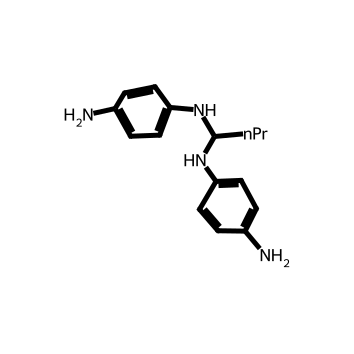 CCCC(Nc1ccc(N)cc1)Nc1ccc(N)cc1